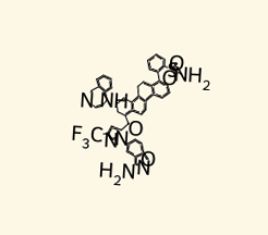 C1=CNc2ccccc2C=N1.Nc1noc2ccc(-n3nc(C(F)(F)F)cc3C(=O)C3=c4ccc5c(c4CCC3)CC=c3c(-c4ccccc4S(N)(=O)=O)cccc3=5)cc12